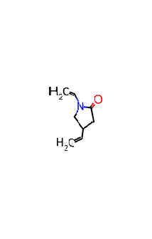 C=CC1CC(=O)N(C=C)C1